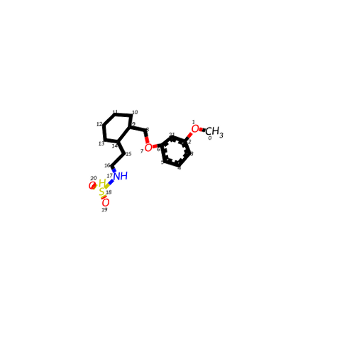 COc1cccc(OCC2CCCCC2CCN[SH](=O)=O)c1